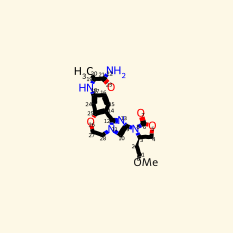 COCC[C@@H]1COC(=O)N1c1cn2c(n1)-c1ccc(NC(C)C(N)=O)cc1OCC2